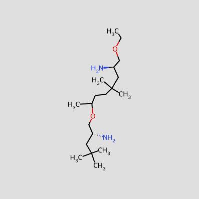 CCOC[C@H](N)CC(C)(C)CCC(C)OC[C@H](N)CC(C)(C)C